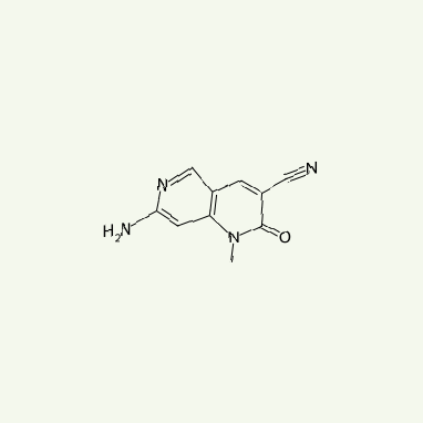 Cn1c(=O)c(C#N)cc2cnc(N)cc21